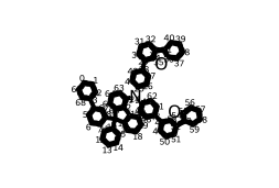 c1ccc(-c2cccc(C3(c4ccccc4)c4ccccc4-c4c(N(c5ccc(-c6cccc7c6oc6ccccc67)cc5)c5ccc(-c6cccc7c6oc6ccccc67)cc5)cccc43)c2)cc1